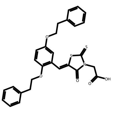 O=C(O)CN1C(=O)/C(=C/c2cc(OCCc3ccccc3)ccc2OCCc2ccccc2)SC1=S